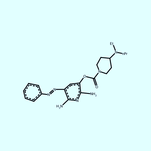 CCCN(CC)C1CCN(C(=O)Oc2cc(/N=N/c3ccccc3)c(N)nc2N)CC1